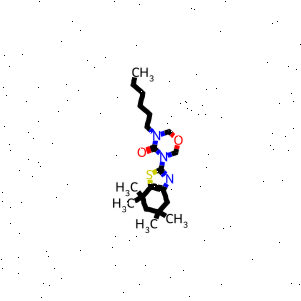 CCCCCCN1COCN(c2nc3c(s2)C(C)(C)CC(C)(C)C3)C1=O